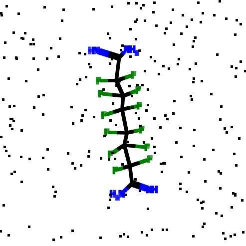 N=C(N)C(F)(F)C(F)(F)C(F)(F)C(F)(F)C(F)(F)C(F)(F)C(=N)N